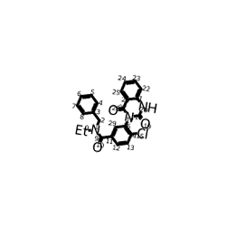 CCN(Cc1ccccc1)C(=O)c1ccc(Cl)c(-n2c(=O)[nH]c3ccccc3c2=O)c1